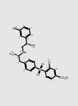 CCOC(=O)c1ccc(S(=O)(=O)c2ccc(C[C@@H](C)NC[C@H](O)c3cccc(Cl)c3)cc2)c(Cl)c1